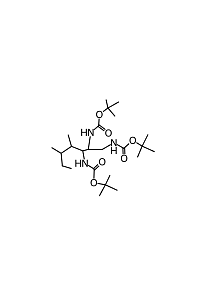 CCC(C)C(C)C(NC(=O)OC(C)(C)C)C(CNC(=O)OC(C)(C)C)NC(=O)OC(C)(C)C